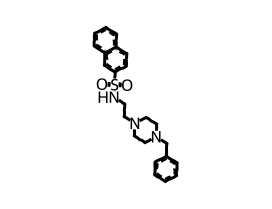 O=S(=O)(NCCN1CCN(Cc2ccccc2)CC1)c1ccc2ccccc2c1